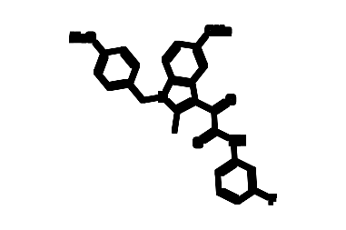 COc1ccc(Cn2c(C)c(C(=O)C(=O)Nc3cccc(F)c3)c3cc(OC)ccc32)cc1